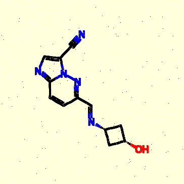 N#Cc1cnc2ccc(/C=N/[C@H]3C[C@@H](O)C3)nn12